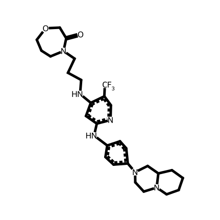 O=C1COCCCN1CCCNc1cc(Nc2ccc(N3CCN4CCCCC4C3)cc2)ncc1C(F)(F)F